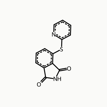 O=C1NC(=O)c2c(Sc3ccccn3)cccc21